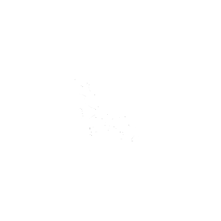 Cn1cc(-c2ncc(C#N)c(N3C[C@@H]4C[C@H]3CN4c3cccc(F)c3)n2)cn1